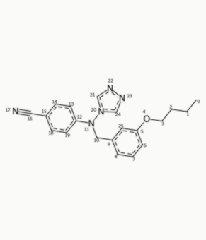 CCCCOc1cccc(CN(c2ccc(C#N)cc2)n2cnnc2)c1